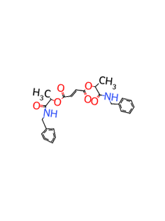 CC(OC(=O)/C=C/C(=O)OC(C)C(=O)NCc1ccccc1)C(=O)NCc1ccccc1